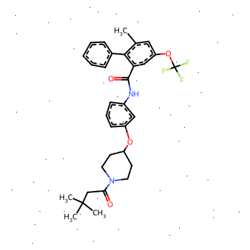 Cc1cc(OC(F)(F)F)cc(C(=O)Nc2cccc(OC3CCN(C(=O)CC(C)(C)C)CC3)c2)c1-c1ccccc1